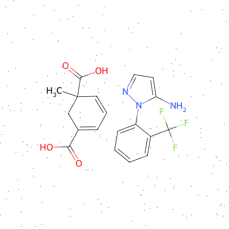 CC1(C(=O)O)C=CC=C(C(=O)O)C1.Nc1ccnn1-c1ccccc1C(F)(F)F